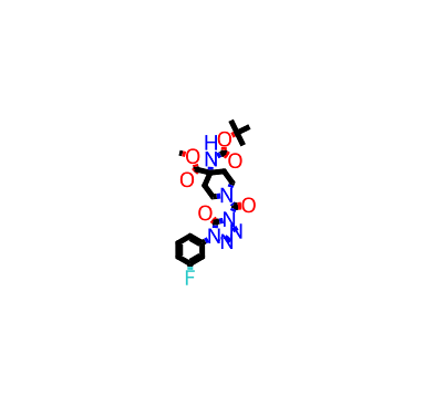 COC(=O)C1(NC(=O)OC(C)(C)C)CCN(C(=O)n2nnn(-c3cccc(F)c3)c2=O)CC1